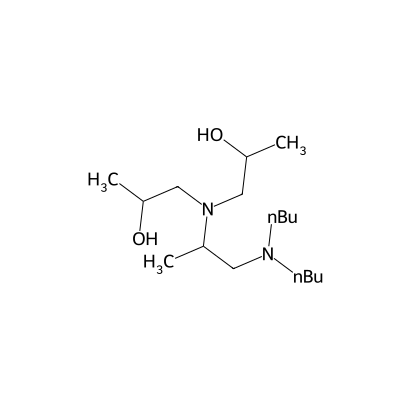 CCCCN(CCCC)CC(C)N(CC(C)O)CC(C)O